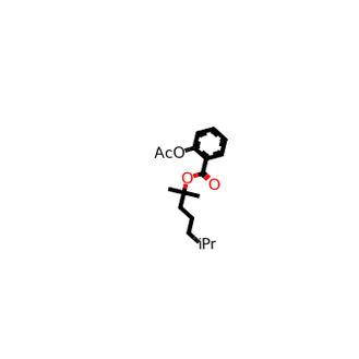 CC(=O)Oc1ccccc1C(=O)OC(C)(C)CCCC(C)C